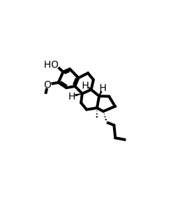 CCCC[C@H]1CC[C@H]2[C@@H]3CCc4cc(O)c(OC)cc4[C@H]3CC[C@]12C